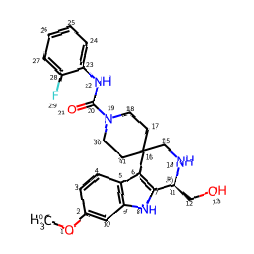 COc1ccc2c3c([nH]c2c1)[C@H](CO)NCC31CCN(C(=O)Nc2ccccc2F)CC1